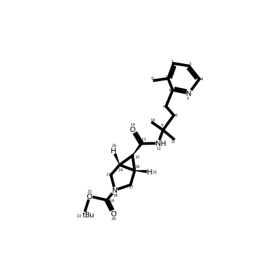 Cc1cccnc1CCC(C)(C)NC(=O)[C@H]1[C@@H]2CN(C(=O)OC(C)(C)C)C[C@@H]21